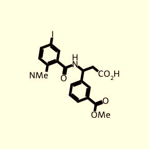 CNc1ccc(I)cc1C(=O)NC(CC(=O)O)c1cccc(C(=O)OC)c1